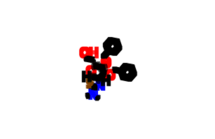 CN(C)C1=N[C@@H]2C(OCc3ccccc3)[C@H](OCc3ccccc3)[C@@H](CCO)O[C@@H]2S1